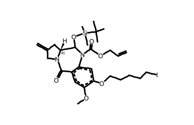 C=CCOC(=O)N1c2cc(OCCCCCI)c(OC)cc2C(=O)N2CC(=C)C[C@@H]2C1O[Si](C)(C)C(C)(C)C